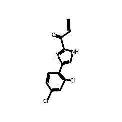 C=CC(=O)c1nc(-c2ccc(Cl)cc2Cl)c[nH]1